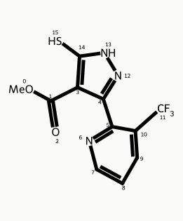 COC(=O)c1c(-c2ncccc2C(F)(F)F)n[nH]c1S